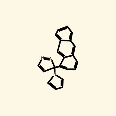 C1=CC(c2cccc3cc4ccccc4cc23)(n2cccc2)N=N1